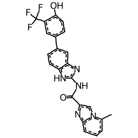 Cc1cccc2nc(C(=O)Nc3nc4cc(-c5ccc(O)c(C(F)(F)F)c5)ccc4[nH]3)cn12